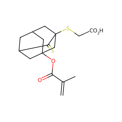 C=C(C)C(=O)OC12CC3CC(C1)C(=S)C(SCC(=O)O)(C3)C2